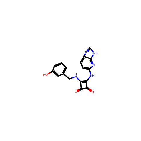 O=c1c(NCc2cccc(O)c2)c(Nc2ccc3nc[nH]c3n2)c1=O